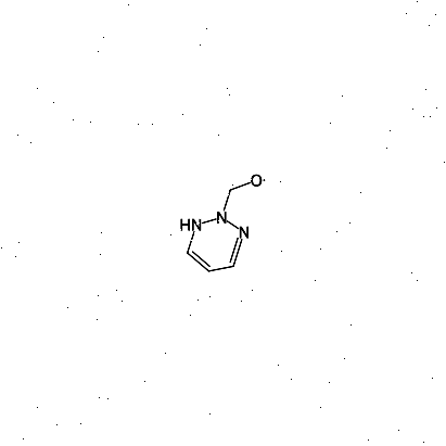 [O]CN1N=CC=CN1